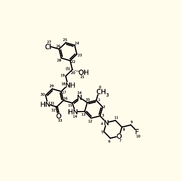 Cc1cc(N2CCOC(CF)C2)cc2[nH]c(-c3c(NC[C@@H](O)c4cccc(Cl)c4)cc[nH]c3=O)nc12